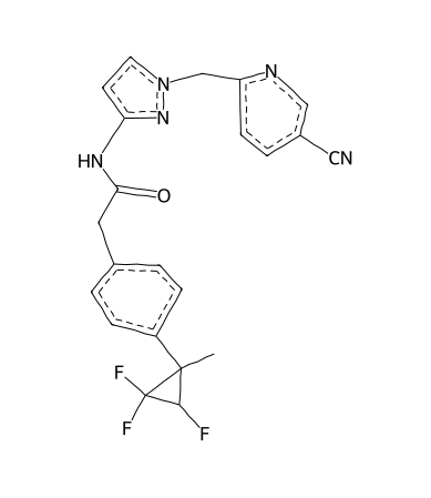 CC1(c2ccc(CC(=O)Nc3ccn(Cc4ccc(C#N)cn4)n3)cc2)C(F)C1(F)F